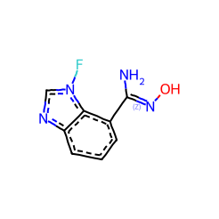 N/C(=N\O)c1cccc2ncn(F)c12